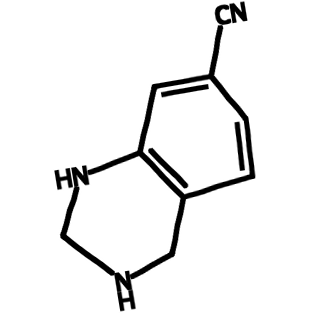 N#Cc1ccc2c(c1)NCNC2